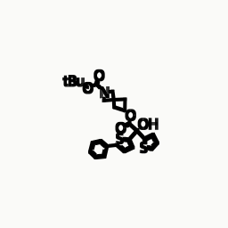 CC(C)(C)OC(=O)N1CC2(CC(OC(=O)C(O)(c3cccs3)c3ccc(-c4ccccc4)s3)C2)C1